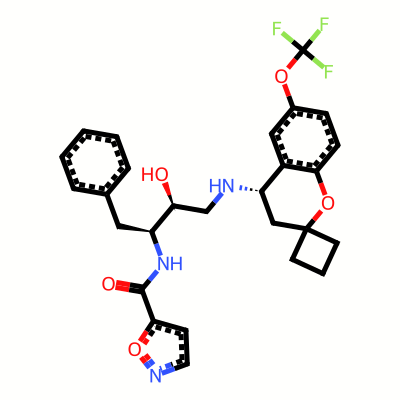 O=C(N[C@@H](Cc1ccccc1)[C@@H](O)CN[C@H]1CC2(CCC2)Oc2ccc(OC(F)(F)F)cc21)c1ccno1